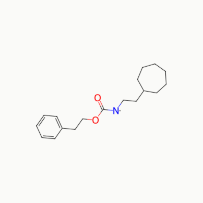 O=C([N]CCC1CCCCCC1)OCCc1ccccc1